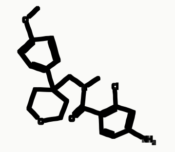 COc1ccc(C2(CN(C)C(=O)c3ccc(N)cc3Cl)CCOCC2)cc1